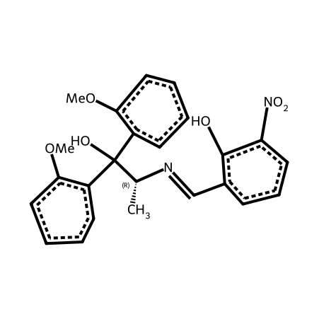 COc1ccccc1C(O)(c1ccccc1OC)[C@@H](C)N=Cc1cccc([N+](=O)[O-])c1O